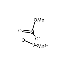 CC(=O)[O-].CO[Si](=O)[O-].[Mn+2]